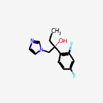 CC[C@](O)(Cn1ccnc1)c1ccc(F)cc1F